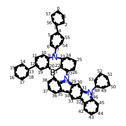 c1ccc(-c2ccc(N3c4ccc(-c5ccccc5)cc4B4c5c3cccc5-n3c5cc6c(cc5c5cccc4c53)c3ccccc3n6-c3ccccc3)cc2)cc1